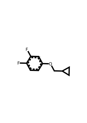 Fc1[c]c(OCC2CC2)ccc1F